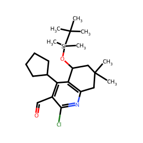 CC1(C)Cc2nc(Cl)c(C=O)c(C3CCCC3)c2C(O[Si](C)(C)C(C)(C)C)C1